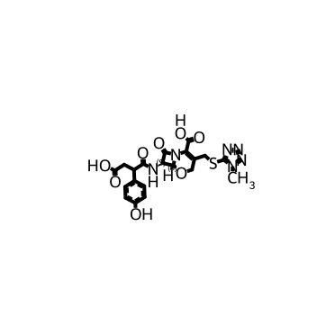 Cn1nnnc1SCC1=C(C(=O)O)N2C(=O)[C@@H](NC(=O)C(CC(=O)O)c3ccc(O)cc3)[C@H]2OC1